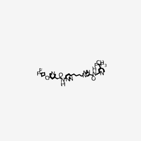 CC(F)(F)c1ccnc(CNC(=O)c2cn(CCCCc3ccc(NC(=O)Cc4cncc(OC5CC(F)(F)C5)c4)nn3)nn2)c1